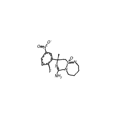 C[C@@]1(c2cc([N+](=O)[O-])ccc2F)CS2(=O)=NCCCCN2C(N)=N1